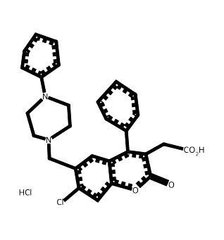 Cl.O=C(O)Cc1c(-c2ccccc2)c2cc(CN3CCN(c4ccccc4)CC3)c(Cl)cc2oc1=O